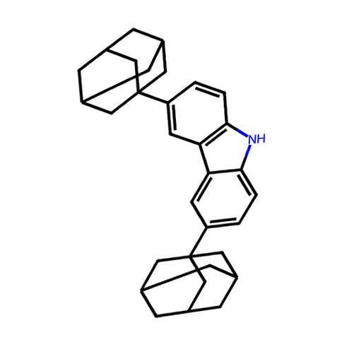 c1cc2[nH]c3ccc(C45CC6CC(CC(C6)C4)C5)cc3c2cc1C12CC3CC(CC(C3)C1)C2